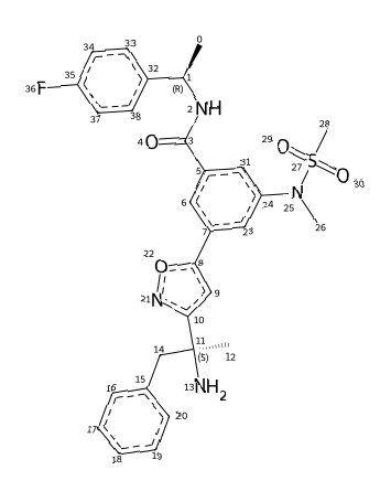 C[C@@H](NC(=O)c1cc(-c2cc([C@@](C)(N)Cc3ccccc3)no2)cc(N(C)S(C)(=O)=O)c1)c1ccc(F)cc1